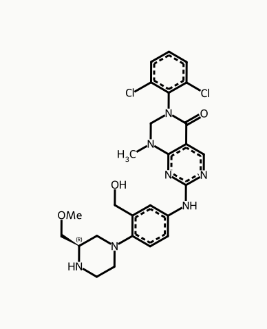 COC[C@H]1CN(c2ccc(Nc3ncc4c(n3)N(C)CN(c3c(Cl)cccc3Cl)C4=O)cc2CO)CCN1